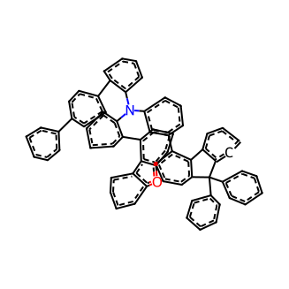 c1ccc(-c2ccc(-c3ccccc3N(c3cccc(-c4cccc5c4-c4ccccc4C5(c4ccccc4)c4ccccc4)c3)c3ccccc3-c3cccc4oc5ccccc5c34)cc2)cc1